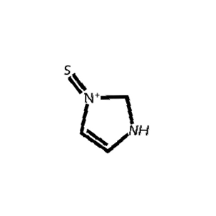 S=[N+]1C=CNC1